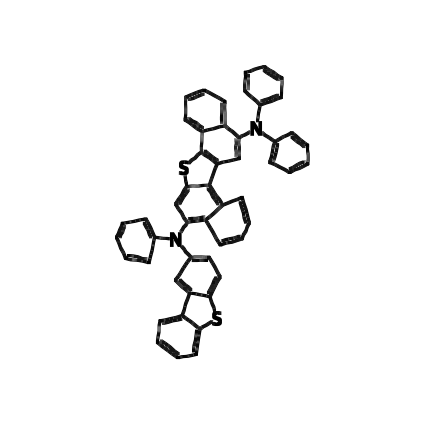 c1ccc(N(c2ccccc2)c2cc3c(sc4cc(N(c5ccccc5)c5ccc6sc7ccccc7c6c5)c5ccccc5c43)c3ccccc23)cc1